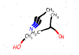 CC#N.CC(C)O.CO